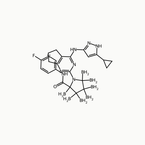 BC1(B)N(c2nc3c(c(Nc4cc(C5CC5)[nH]n4)n2)CCC3)C(B)(C(=O)Nc2ccc(F)nc2)C(B)(B)C1(B)B